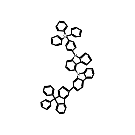 c1ccc(C2(c3ccccc3)c3ccccc3-c3cc(-c4ccc5c6ccccc6n(-c6cccc7c6c6ccccc6n7-c6ccc([Si](c7ccccc7)(c7ccccc7)c7ccccc7)cc6)c5c4)ccc32)cc1